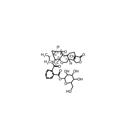 CC(C)[C@]12C[C@H]1[C@@H]1O[C@@]13[C@@]1(C)CCC4=C(COC4=O)[C@@H]1CO[C@]3(C)[C@@H]2OC(=O)c1ccccc1C(=O)OC1OC(CO)C(O)C(O)C1O